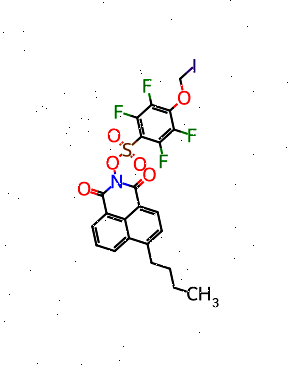 CCCCc1ccc2c3c(cccc13)C(=O)N(OS(=O)(=O)c1c(F)c(F)c(OCI)c(F)c1F)C2=O